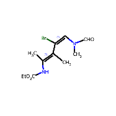 CCOC(=O)N/C(C)=C(C)/C(Br)=C\N(C)C=O